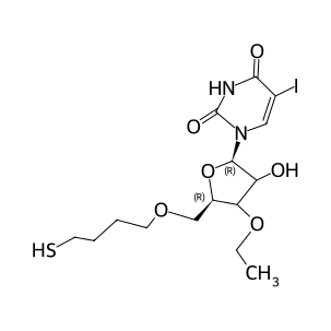 CCOC1C(O)[C@H](n2cc(I)c(=O)[nH]c2=O)O[C@@H]1COCCCCS